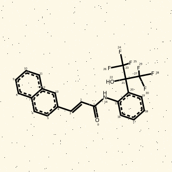 O=C(C=Cc1ccc2ccccc2c1)Nc1ccccc1C(O)(C(F)(F)F)C(F)(F)F